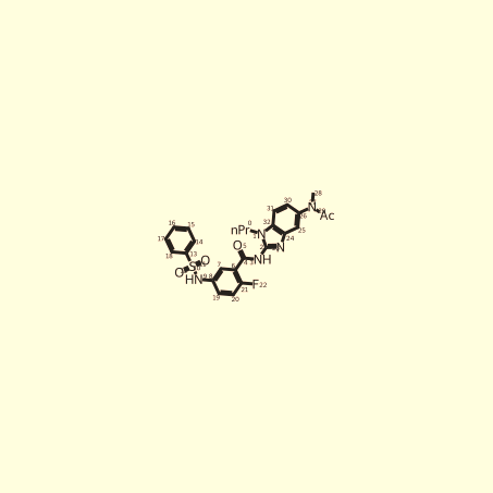 CCCn1c(NC(=O)c2cc(NS(=O)(=O)c3ccccc3)ccc2F)nc2cc(N(C)C(C)=O)ccc21